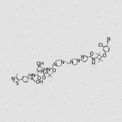 Cc1ncsc1-c1ccc([C@H](CO)NC(=O)[C@@H]2C[C@@H](O)CN2C(=O)[C@@H](NC(=O)CN2CCN(CCN3CCN(c4ccc(C(=O)NC5C(C)(C)C(Oc6ccc(C#N)c(Cl)c6)C5(C)C)cn4)CC3)CC2)C(C)(C)C)cc1